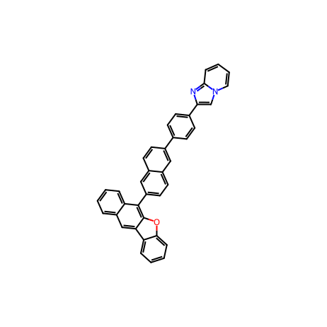 c1ccc2c(-c3ccc4cc(-c5ccc(-c6cn7ccccc7n6)cc5)ccc4c3)c3oc4ccccc4c3cc2c1